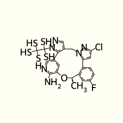 C[C@H]1Oc2cc(cnc2N)-c2c(cnn2C(S)(S)C(S)(S)S)Cn2nc(Cl)cc2-c2ccc(F)cc21